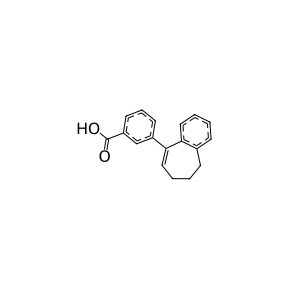 O=C(O)c1cccc(C2=CCCCc3ccccc32)c1